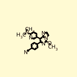 COc1nc(-c2ccc(C#N)cc2)c(-c2ccc(N(C)C)nc2)c2nccn12